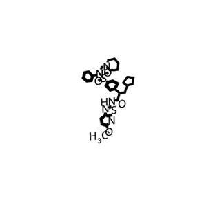 COc1ccc2nc(NC(=O)C(CC3CCCC3)c3ccc(S(=O)(=O)N(CN4CCCCC4)c4ccccc4)cc3)sc2n1